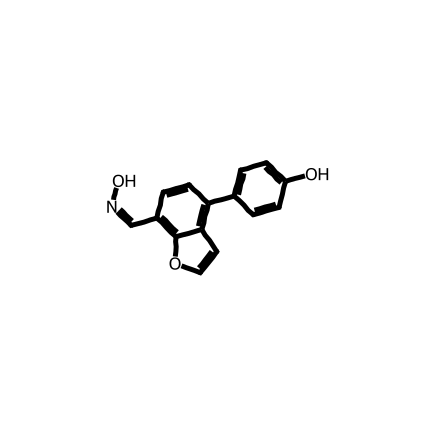 O/N=C\c1ccc(-c2ccc(O)cc2)c2ccoc12